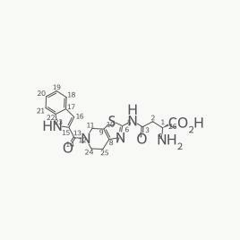 N[C@@H](CC(=O)Nc1nc2c(s1)CN(C(=O)c1cc3ccccc3[nH]1)CC2)C(=O)O